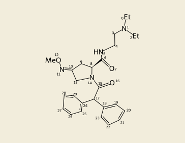 CCN(CC)CCNC(=O)[C@@H]1CC(=NOC)CN1C(=O)C(c1ccccc1)c1ccccc1